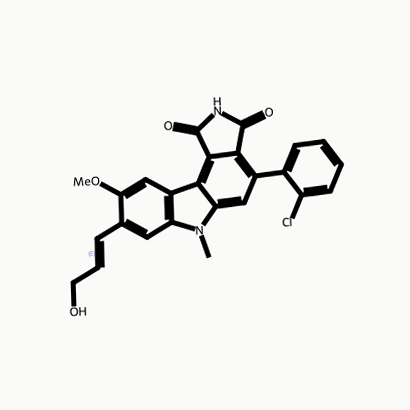 COc1cc2c3c4c(c(-c5ccccc5Cl)cc3n(C)c2cc1/C=C/CO)C(=O)NC4=O